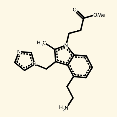 COC(=O)CCn1c(C)c(Cn2ccnc2)c2c(CCN)cccc21